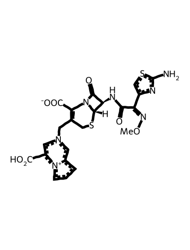 CO/N=C(\C(=O)N[C@@H]1C(=O)N2C(C(=O)[O-])=C(Cn3cc4ccc[n+]-4c(C(=O)O)c3)CS[C@@H]12)c1csc(N)n1